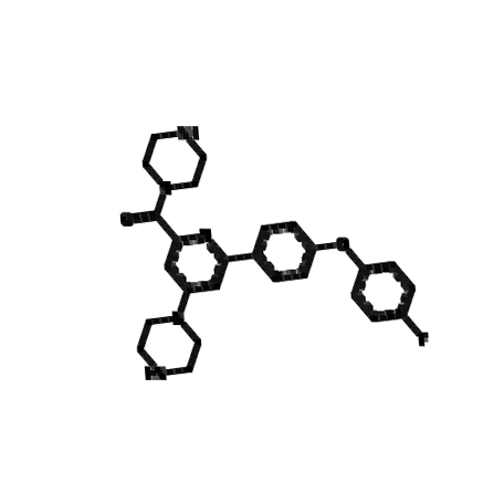 O=C(c1cc(N2CCNCC2)cc(-c2ccc(Oc3ccc(F)cc3)cc2)n1)N1CCNCC1